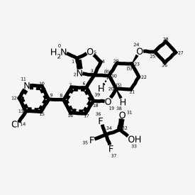 NC1=NC2(CO1)c1cc(-c3cncc(Cl)c3)ccc1O[C@H]1CC[C@H](OC3CCC3)C[C@@H]12.O=C(O)C(F)(F)F